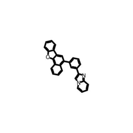 c1cc(-c2cn3ccccc3n2)cc(-c2cc3c4ccccc4oc3c3ccccc23)c1